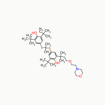 CC(C)(Sc1cc(C(C)(C)C)c(O)c(C(C)(C)C)c1)Sc1cc(C(C)(C)C)c(O)c(C(C)(C)CCOCCN2CCOCC2)c1